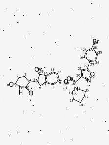 O=C1CCC(N2Cc3cc(OC[C@H]4CCCCN4C(=O)c4cc(-c5ccc(Br)cc5)on4)ccc3C2=O)C(=O)N1